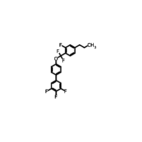 CCCc1ccc(C(F)(F)Oc2ccc(-c3cc(F)c(F)c(F)c3)cc2)c(F)c1